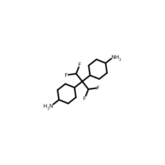 NC1CCC(C(C(F)F)(C(F)F)C2CCC(N)CC2)CC1